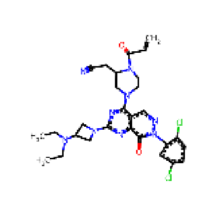 C=CC(=O)N1CCN(c2nc(N3CC(N(CC)CC)C3)nc3c(=O)n(-c4cc(Cl)ccc4Cl)ncc23)CC1CC#N